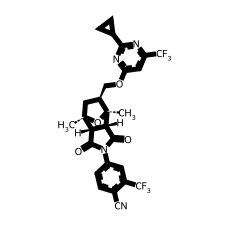 C[C@]12O[C@](C)(C[C@H]1COc1cc(C(F)(F)F)nc(C3CC3)n1)[C@H]1C(=O)N(c3ccc(C#N)c(C(F)(F)F)c3)C(=O)[C@H]12